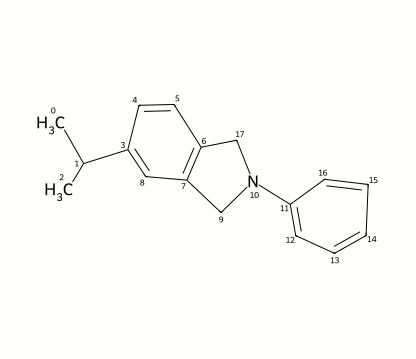 CC(C)c1ccc2c(c1)CN(c1ccccc1)C2